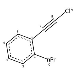 CCCc1ccccc1C#CCl